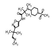 CN=CC(C)(C)c1cc(NC(=O)C(C)(C)N(C)C2CCN(S(C)(=O)=O)CC2)on1